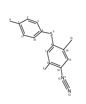 Cc1ccc(Sc2cc(C)c([N+]#N)cc2C)cc1